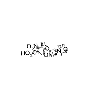 CCc1c(OCCCN2CCOCC2)c(OC)cc(C(=O)O)c1[N+](=O)[O-]